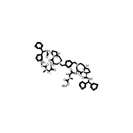 C[C@@H](C(=O)N[C@H]1CN(Cc2ccc(CN3CC[C@H]4CC[C@@H](C(=O)NC(c5ccccc5)c5ccccc5)N4C(=O)[C@@H](NC(=O)[C@H](C)N(C)C(=O)OC(C)(C)C)C3)cc2)CC[C@H]2CC[C@@H](C(=O)NC(c3ccccc3)c3ccccc3)N2C1=O)N(C)C(=O)OC(C)(C)C